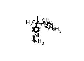 C=C(NCC(=C)N1CCN(C)CC1)c1ccc(N/C=C\N)cc1